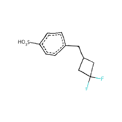 O=S(=O)(O)c1ccc(CC2CC(F)(F)C2)cc1